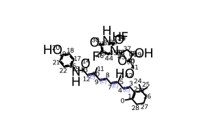 CC1=C(/C=C/C(C)=C/C=C/C(C)=C/C(=O)Nc2ccc(O)cc2)C(C)(C)CCC1.F.O=c1[nH]c(=O)n([C@H]2C[C@H](O)[C@@H](CO)O2)cc1F